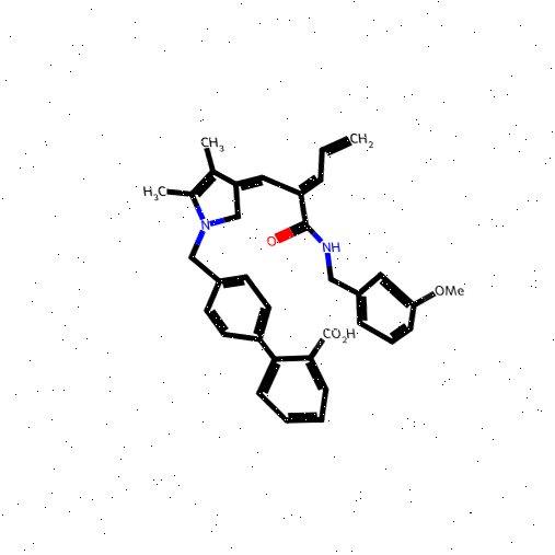 C=C/C=C(\C=C1/CN(Cc2ccc(-c3ccccc3C(=O)O)cc2)C(C)=C1C)C(=O)NCc1cccc(OC)c1